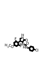 COc1cc(F)c(C2CNC(=O)C2NC(=O)Nc2ccc(Cl)cc2)c(F)c1